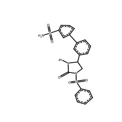 CC(C)N1C(=O)N(S(=O)(=O)c2ccccc2)CC1c1cccc(-c2cccc(S(N)(=O)=O)c2)c1